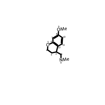 CNCC1CCOc2cc(OC)ccc21